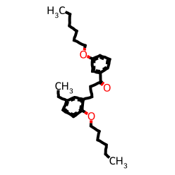 CCCCCCOc1cccc(C(=O)CCc2cc(CC)ccc2OCCCCCC)c1